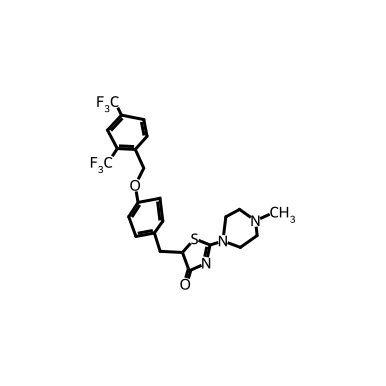 CN1CCN(C2=NC(=O)C(Cc3ccc(OCc4ccc(C(F)(F)F)cc4C(F)(F)F)cc3)S2)CC1